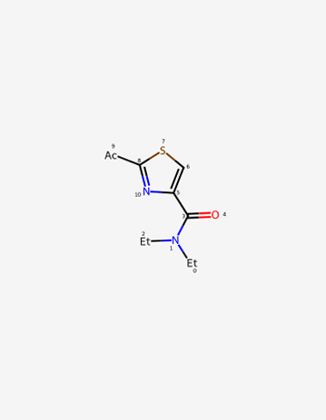 CCN(CC)C(=O)c1csc(C(C)=O)n1